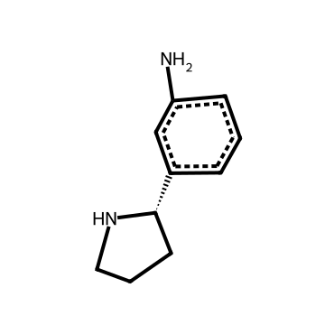 Nc1cccc([C@@H]2CCCN2)c1